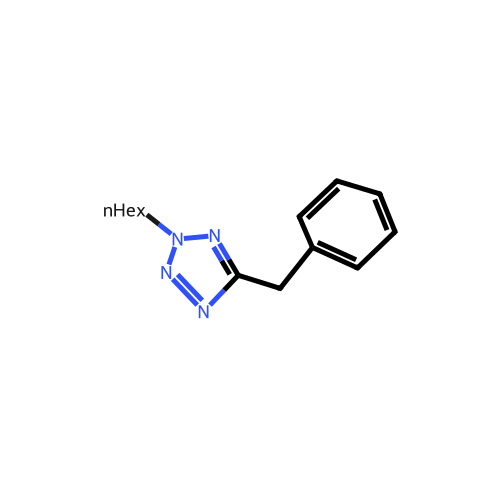 CCCCCCn1nnc(Cc2ccccc2)n1